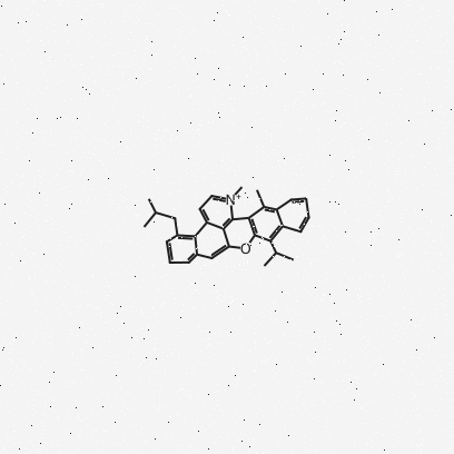 Cc1c2c(c(C(C)C)c3ccccc13)Oc1cc3cccc(CC(C)C)c3c3cc[n+](C)c-2c13